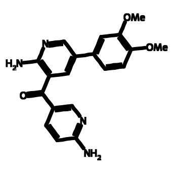 COc1ccc(-c2cnc(N)c(C(=O)c3ccc(N)nc3)c2)cc1OC